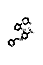 O=[N+]([O-])c1ccc(NCc2cccnc2)nc1Nc1ccccc1N1CCCC(F)C1